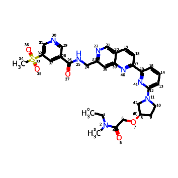 CCN(C)C(=O)CO[C@@H]1CCN(c2cccc(-c3ccc4cnc(CNC(=O)c5cncc(S(C)(=O)=O)c5)cc4n3)n2)C1